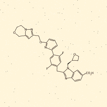 O=C(O)c1ccc2nc(Cc3cc(F)c(-c4cccc(OCc5cc6n(n5)CCOC6)n4)cc3F)n(C[C@@H]3CCO3)c2c1